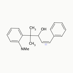 CNc1ccccc1C(C)(C)C(O)/C=C\c1ccccc1